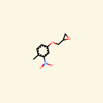 [CH]c1ccc(OCC2CO2)cc1[N+](=O)[O-]